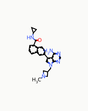 CN1CC(Cn2cc(-c3ccc4c(C(=O)NC5CC5)cccc4c3)c3c(N)ncnc32)C1